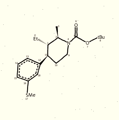 CC[C@@H]1[C@@H](C)N(C(=O)OC(C)(C)C)CC[C@H]1c1cccc(SC)c1